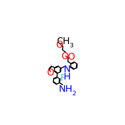 COCCCOC(=O)Cc1ccccc1NCc1cc(-c2cccc(CN)c2F)c2occc2c1